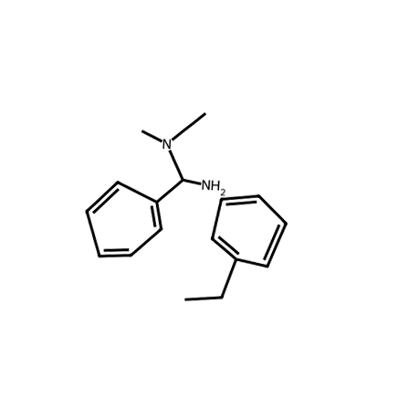 CCc1ccccc1.CN(C)C(N)c1ccccc1